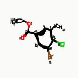 COC(=O)c1cc(C)c(Cl)c(Br)c1